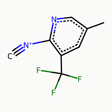 [C-]#[N+]c1ncc(C)cc1C(F)(F)F